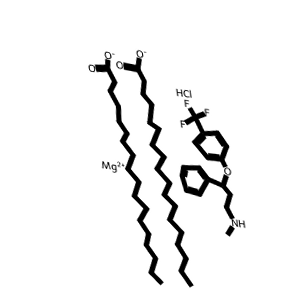 CCCCCCCCCCCCCCCCCC(=O)[O-].CCCCCCCCCCCCCCCCCC(=O)[O-].CNCCC(Oc1ccc(C(F)(F)F)cc1)c1ccccc1.Cl.[Mg+2]